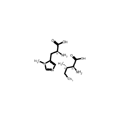 CC[C@H](C)[C@H](N)C(=O)O.Cn1cncc1C[C@H](N)C(=O)O